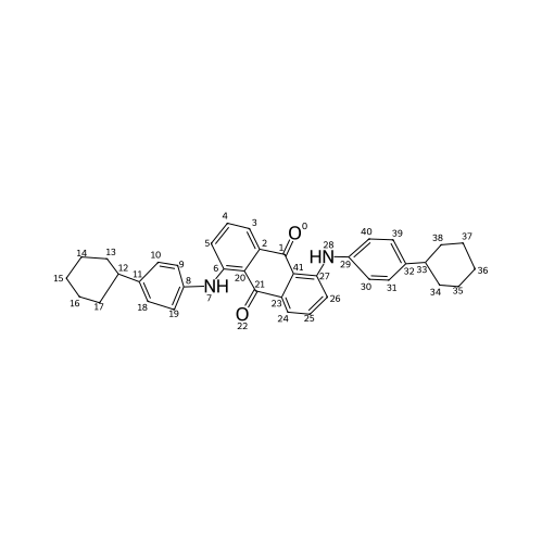 O=C1c2cccc(Nc3ccc(C4CCCCC4)cc3)c2C(=O)c2cccc(Nc3ccc(C4CCCCC4)cc3)c21